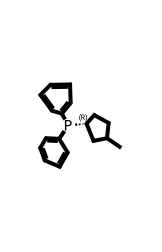 CC1CC[C@@H](P(c2ccccc2)c2ccccc2)C1